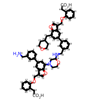 NCc1cccc(-c2cc(N3CCOC(NCc4cccc(-c5cc(CC6CCOCC6)c6occ(COc7ccccc7CC(=O)O)c6c5)c4)C3)c3occ(COc4ccccc4CC(=O)O)c3c2)c1